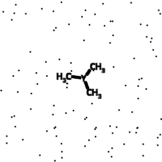 [CH3][Y]([CH3])[CH3]